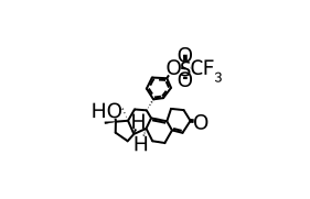 C[C@]1(O)CC[C@H]2[C@@H]3CCC4=CC(=O)CCC4=C3[C@@H](c3ccc(OS(=O)(=O)C(F)(F)F)cc3)C[C@@]21C